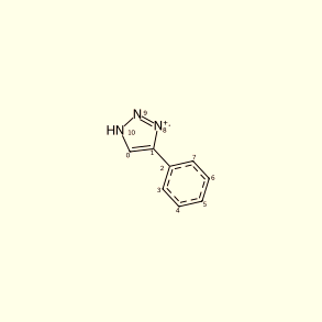 C1=C(c2ccccc2)[N+]=NN1